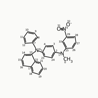 CN(c1ccc(N(c2ccccc2)c2cccc3ccccc23)cc1)c1cccc([N+](=O)[O-])c1